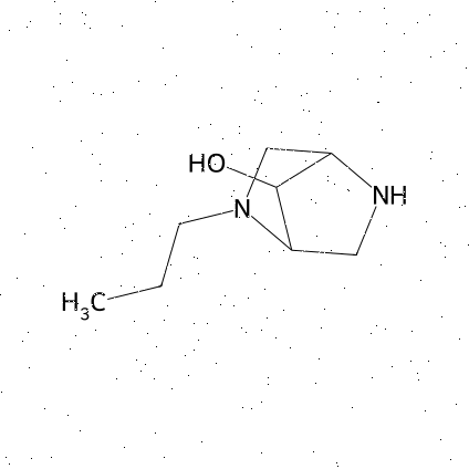 CCCN1CC2NCC1C2O